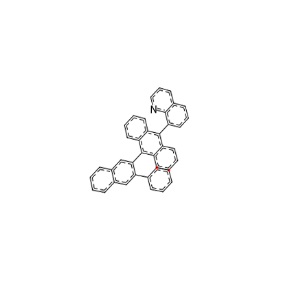 c1ccc(-c2cc3ccccc3cc2-c2c3ccccc3c(-c3cccc4cccnc34)c3ccccc23)cc1